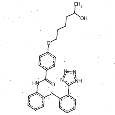 CC(O)CCCCOc1ccc(C(=O)Nc2ccccc2Sc2ccccc2-c2nnn[nH]2)cc1